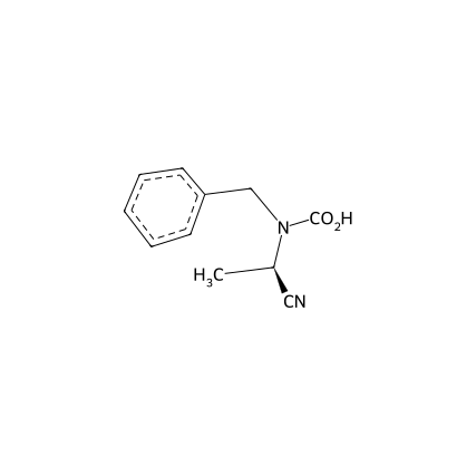 C[C@H](C#N)N(Cc1ccccc1)C(=O)O